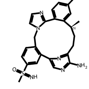 C[C@H]1CCc2nc(cnc2N)-c2cc(S(C)(=N)=O)ccc2Cn2ccnc2-c2ccc(F)cc21